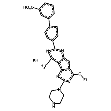 CCOc1nc(N2CCNCC2)nc2c1sc1nc(-c3ccc(-c4cccc(C(=O)O)c4)cc3)nc(C)c12.[KH]